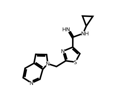 N=C(NC1CC1)c1csc(Cn2ccc3ccncc32)n1